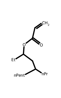 C=CC(=O)OC(CC)CC(CCC)CCCCC